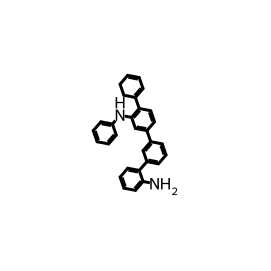 Nc1ccccc1-c1cccc(-c2ccc(C3=CC=CCC3)c(Nc3ccccc3)c2)c1